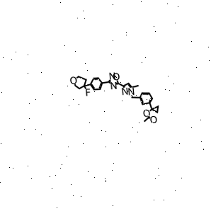 CC(=O)OC1(c2cccc(Cn3nc(-c4nc(-c5ccc(C6(F)CCOCC6)cc5)no4)cc3C)c2)CC1